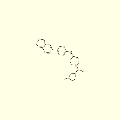 C=C1CCC(C(=O)N2CCC(Oc3ccc(-c4cnc5c(c4)=CCCC=5)cc3)CC2)O1